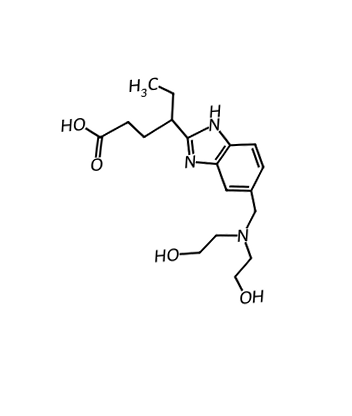 CCC(CCC(=O)O)c1nc2cc(CN(CCO)CCO)ccc2[nH]1